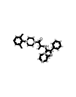 Cc1cccc(C)c1N1CCN(C(=O)C(C)Nc2c(-c3ccccc3)nc3cnccn23)CC1